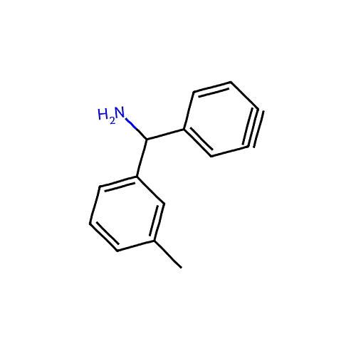 Cc1cccc(C(N)c2cc#ccc2)c1